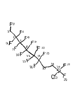 FCC(F)(F)C(F)(F)C(F)(F)C(F)(F)C(F)(F)CC[Si](F)(F)Cl